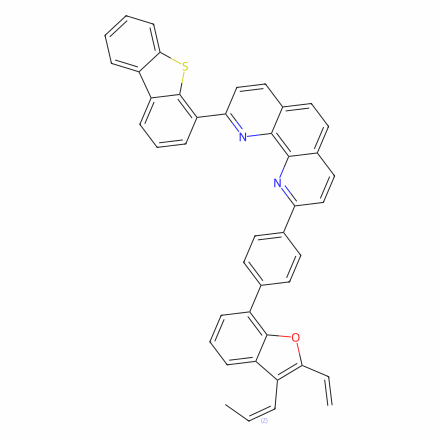 C=Cc1oc2c(-c3ccc(-c4ccc5ccc6ccc(-c7cccc8c7sc7ccccc78)nc6c5n4)cc3)cccc2c1/C=C\C